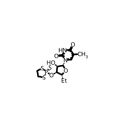 CC[C@H]1O[C@@H](n2cc(C)c(=O)[nH]c2=O)[C@H](O)[C@@H]1OP1(=S)SCCS1